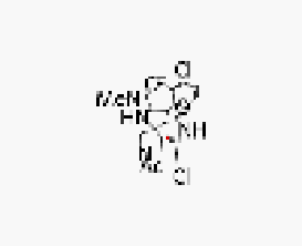 CNC(=O)[C@@H]1NC2(CCN(C(C)=O)CC2)[C@]2(C(=O)Nc3cc(Cl)ccc32)[C@H]1c1cccc(Cl)c1F